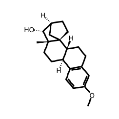 COc1ccc2c(c1)CC[C@@H]1[C@@H]2CC[C@]2(C)[C@H](O)[C@H]3CC[C@@]12C3